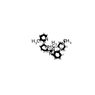 Cc1cccnc1[C@@H]1CCC[C@H](c2nc3cccc(N4CCN(C)CC4)c3n2C)N1